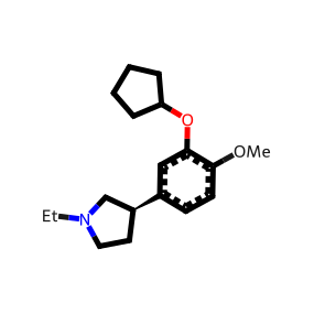 CCN1CC[C@H](c2ccc(OC)c(OC3CCCC3)c2)C1